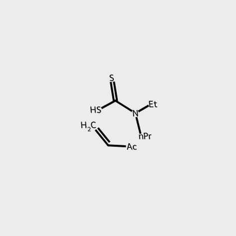 C=CC(C)=O.CCCN(CC)C(=S)S